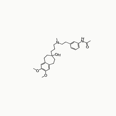 COc1cc2c(cc1OC)CCC(O)(CCCN(C)CCc1cccc(NC(C)=O)c1)CC2